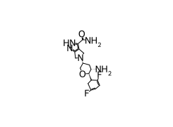 NC(=O)c1[nH]nc2c1CN([C@H]1CO[C@H](C3CC(F)=CC=C3F)[C@@H](N)C1)C2